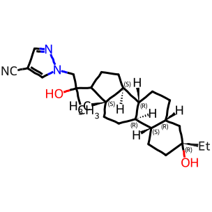 CC[C@@]1(O)CC[C@H]2[C@H](CC[C@@H]3[C@@H]2CC[C@]2(C)C(C(C)(O)Cn4cc(C#N)cn4)CC[C@@H]32)C1